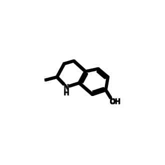 CC1CCc2ccc(O)cc2N1